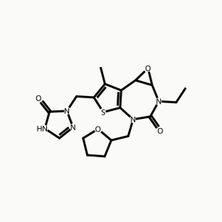 CCN1C(=O)N(CC2CCCO2)c2sc(Cn3nc[nH]c3=O)c(C)c2C2OC21